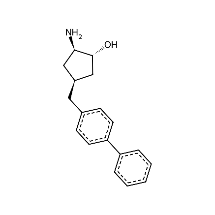 N[C@@H]1C[C@H](Cc2ccc(-c3ccccc3)cc2)C[C@H]1O